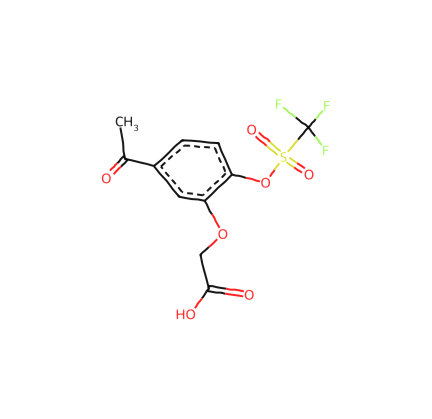 CC(=O)c1ccc(OS(=O)(=O)C(F)(F)F)c(OCC(=O)O)c1